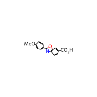 COc1ccc(-c2nc3ccc(C(=O)O)cc3o2)cc1